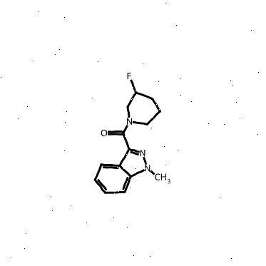 Cn1nc(C(=O)N2CCCC(F)C2)c2ccccc21